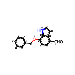 O=Cc1ccc(OCc2ccccc2)c2[nH]ccc12